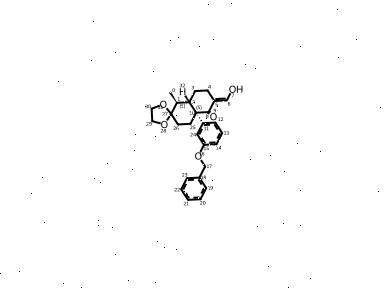 C[C@H]1[C@@H]2CCC(=CO)C(=O)[C@@]2(c2cccc(OCc3ccccc3)c2)CCC12OCCO2